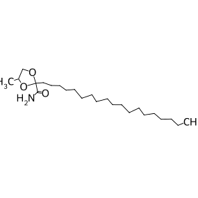 CCCCCCCCCCCCCCCCCCCC1(C(N)=O)OCC(C)O1